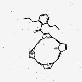 CCCc1cccc(CCC)c1C(=O)C1=Cc2cc3ccc(cc4nc(cc5ccc(cc1n2)[nH]5)C=C4)[nH]3